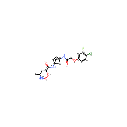 CC1CC(C(=O)NC23CCC(NC(=O)COc4ccc(Cl)c(F)c4)(C2)C3)OON1